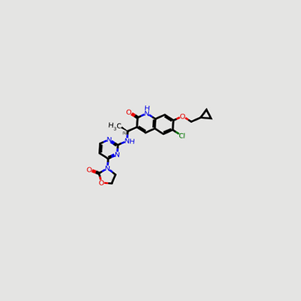 C[C@H](Nc1nccc(N2CCOC2=O)n1)c1cc2cc(Cl)c(OCC3CC3)cc2[nH]c1=O